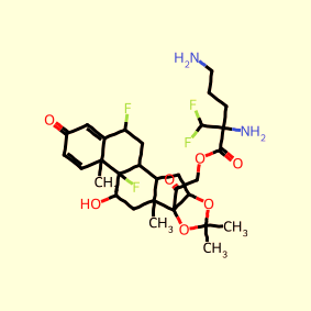 CC1(C)OC2CC3C4CC(F)C5=CC(=O)C=CC5(C)C4(F)C(O)CC3(C)C2(C(=O)COC(=O)C(N)(CCCN)C(F)F)O1